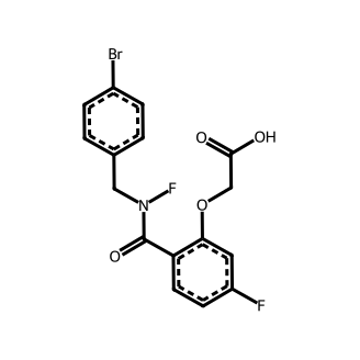 O=C(O)COc1cc(F)ccc1C(=O)N(F)Cc1ccc(Br)cc1